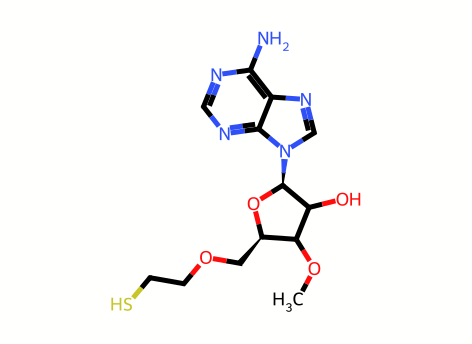 COC1C(O)[C@H](n2cnc3c(N)ncnc32)O[C@@H]1COCCS